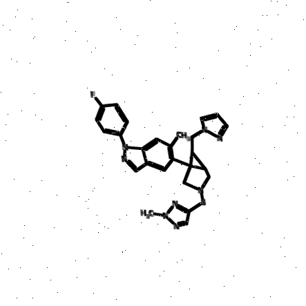 Cc1cc2c(cnn2-c2ccc(F)cc2)cc1C12CN(Sc3cnn(C)n3)CC1C2Cn1cccn1